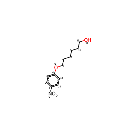 O=[N+]([O-])c1ccc(OCCCCCCO)cc1